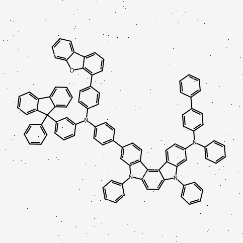 c1ccc(-c2ccc(N(c3ccccc3)c3ccc4c5c6c7ccc(-c8ccc(N(c9ccc(-c%10cccc%11c%10oc%10ccccc%10%11)cc9)c9cccc(C%10(c%11ccccc%11)c%11ccccc%11-c%11ccccc%11%10)c9)cc8)cc7n(-c7ccccc7)c6ccc5n(-c5ccccc5)c4c3)cc2)cc1